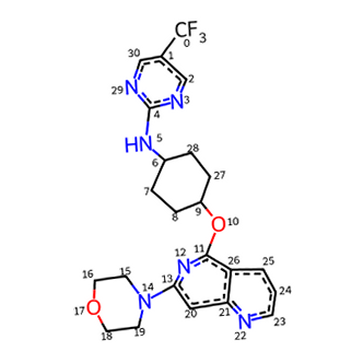 FC(F)(F)c1cnc(NC2CCC(Oc3nc(N4CCOCC4)cc4ncccc34)CC2)nc1